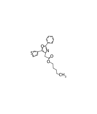 CCCCCOC(=O)Cc1nc(-c2ccccc2)oc1-c1ccsc1